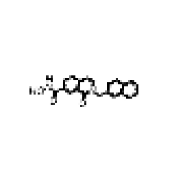 O=C(NO)c1ccc2ccn(Cc3ccc4ccccc4c3)c(=O)c2c1